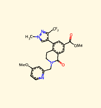 COC(=O)c1cc2c(c(-c3cn(C)nc3C(F)(F)F)c1)CCN(Cc1cc(OC)ccn1)C2=O